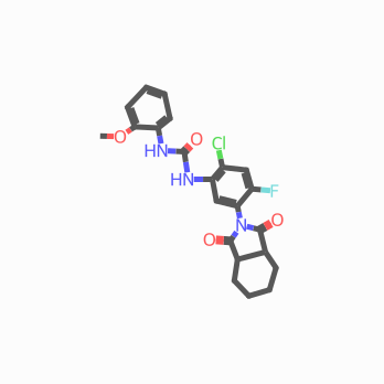 COc1ccccc1NC(=O)Nc1cc(N2C(=O)C3CCCCC3C2=O)c(F)cc1Cl